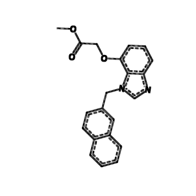 COC(=O)COc1cccc2ncn(Cc3ccc4ccccc4c3)c12